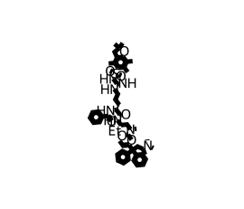 CC=C(OC(=O)N(C)CC(CC)NC(=O)[C@H](CCCNC(=N)NS(=O)(=O)c1c(C)c(C)c2c(c1C)CC(C)(C)O2)NC(=O)c1ccccc1)C(CC(C)N(C)C)(c1ccccc1)c1ccccc1